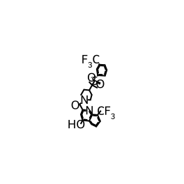 CC(C)(C1CCN(C(=O)c2cc(O)c3cccc(C(F)(F)F)c3n2)CC1)S(=O)(=O)c1cccc(C(F)(F)F)c1